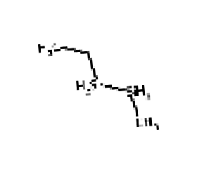 CC[SiH2][SiH2]C